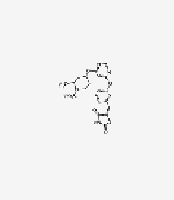 CC1CC(Oc2cc(Oc3cccc(C=C4SC(=O)NC4=O)c3)ncn2)CCN1C(=O)O